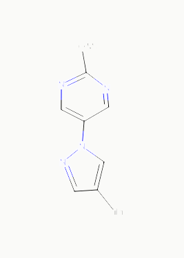 COc1ncc(-n2cc(C(C)C)cn2)cn1